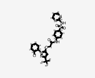 O=C(COc1cc(C(F)(F)F)nn1-c1ccccc1Cl)Nc1ccc(S(=O)(=O)Nc2ncccn2)cc1